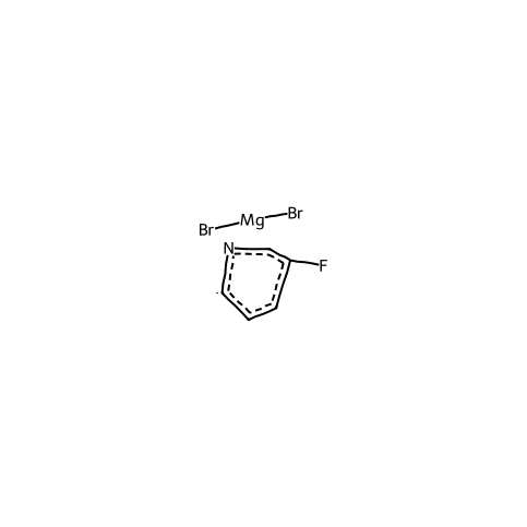 Fc1cc[c]nc1.[Br][Mg][Br]